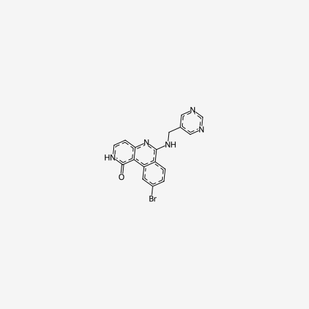 O=c1[nH]ccc2nc(NCc3cncnc3)c3ccc(Br)cc3c12